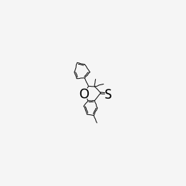 Cc1ccc2c(c1)C(=S)C(C)(C)C(c1ccccc1)O2